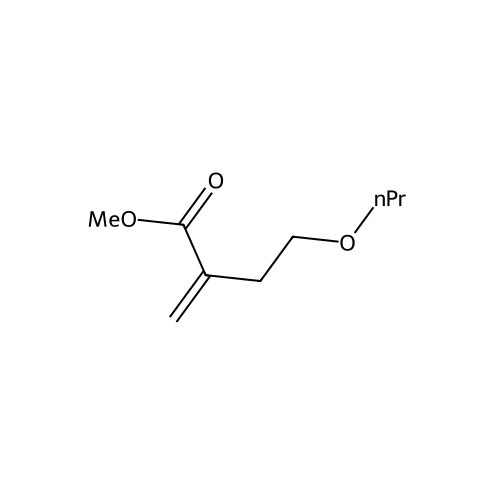 C=C(CCOCCC)C(=O)OC